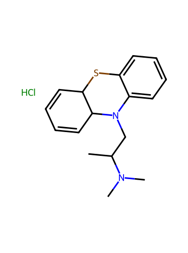 CC(CN1c2ccccc2SC2C=CC=CC21)N(C)C.Cl